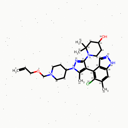 C=CCOCN1CCC(n2nc(N3CCC(O)CC3(C)C)c(-c3c(Cl)c(C)cc4[nH]ncc34)c2C)CC1